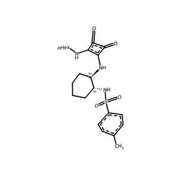 CCCCCCNc1c(N[C@@H]2CCCC[C@H]2NS(=O)(=O)c2ccc(C)cc2)c(=O)c1=O